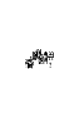 Cn1c2c(c3ncnc(CCc4cccnc4)c31)CN1CCCC1C2